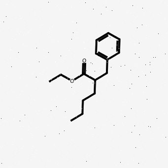 CCCCC(Cc1ccccc1)C(=O)OCC